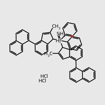 CC1=Cc2c(-c3cccc4ccccc34)cccc2[CH]1[Hf](=[SiH2])([c]1ccccc1)([c]1ccccc1)[CH]1C(C)=Cc2c(-c3cccc4ccccc34)cccc21.Cl.Cl